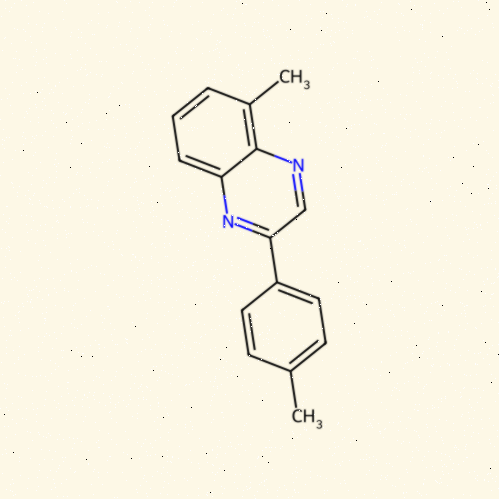 Cc1ccc(-c2cnc3c(C)cccc3n2)cc1